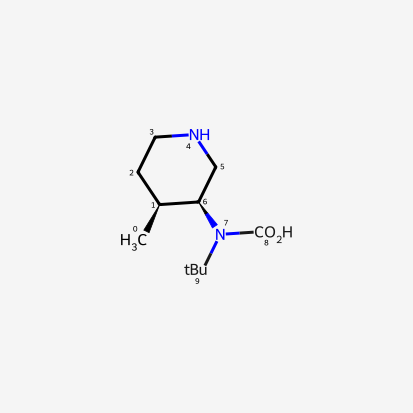 C[C@H]1CCNC[C@H]1N(C(=O)O)C(C)(C)C